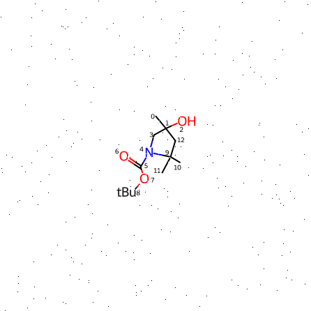 CC1(O)CN(C(=O)OC(C)(C)C)C(C)(C)C1